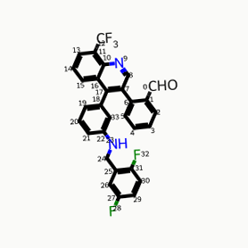 O=Cc1ccccc1-c1cnc2c(C(F)(F)F)cccc2c1-c1cccc(NCc2cc(F)ccc2F)c1